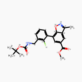 COC(=O)c1cc(-c2cccc(CNC(=O)OC(C)(C)C)c2F)c2onc(C)c2c1